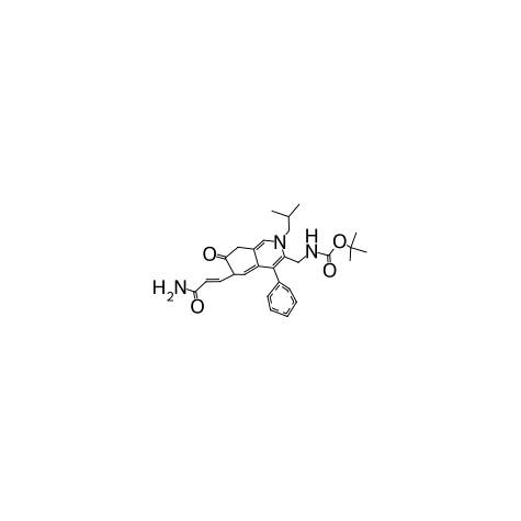 CC(C)CN1C=C2CC(=O)C(/C=C/C(N)=O)C=C2C(c2ccccc2)=C1CNC(=O)OC(C)(C)C